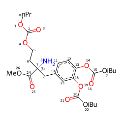 CCCOC(=O)OCC[C@@](N)(Cc1ccc(OC(=O)OCC(C)C)c(OC(=O)OCC(C)C)c1)C(=O)OC